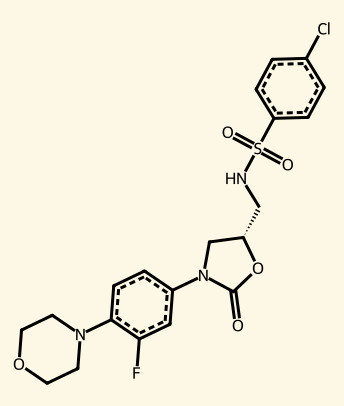 O=C1O[C@@H](CNS(=O)(=O)c2ccc(Cl)cc2)CN1c1ccc(N2CCOCC2)c(F)c1